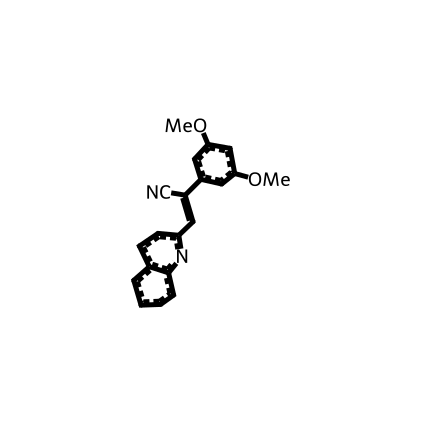 COc1cc(OC)cc(/C(C#N)=C/c2ccc3ccccc3n2)c1